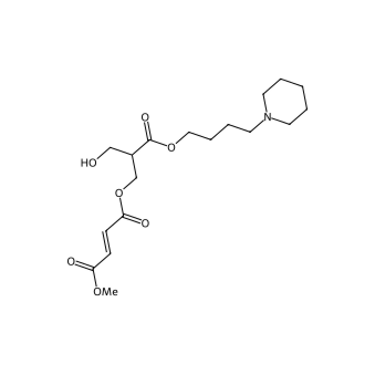 COC(=O)/C=C/C(=O)OCC(CO)C(=O)OCCCCN1CCCCC1